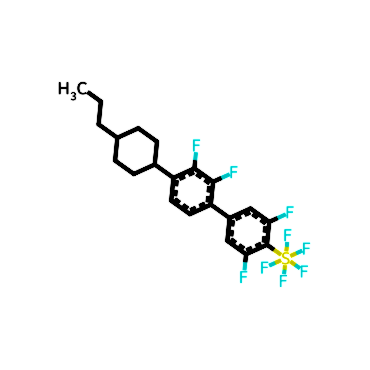 CCCC1CCC(c2ccc(-c3cc(F)c(S(F)(F)(F)(F)F)c(F)c3)c(F)c2F)CC1